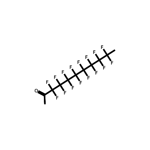 CC(=O)C(F)(F)C(F)(F)C(F)(F)C(F)(F)C(F)(F)C(F)(F)C(F)(F)C(C)(F)F